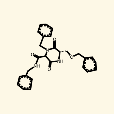 O=C(NCc1ccccc1)C1C(=O)N[C@@H](COCc2ccccc2)C(=O)N1Cc1ccccc1